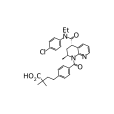 CCN(C(=O)[C@H]1C[C@H](C)N(C(=O)c2ccc(CCC(C)(C)C(=O)O)cc2)c2ncccc21)c1ccc(Cl)cc1